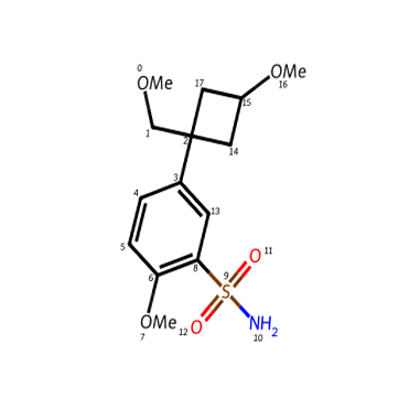 COCC1(c2ccc(OC)c(S(N)(=O)=O)c2)CC(OC)C1